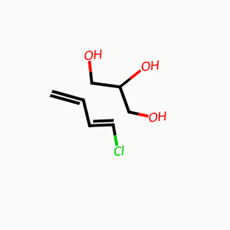 C=CC=CCl.OCC(O)CO